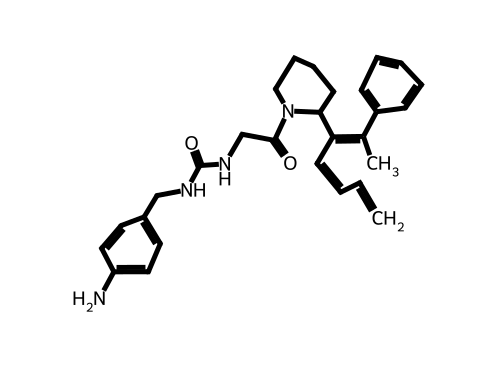 C=C/C=C\C(=C(/C)c1ccccc1)C1CCCCN1C(=O)CNC(=O)NCc1ccc(N)cc1